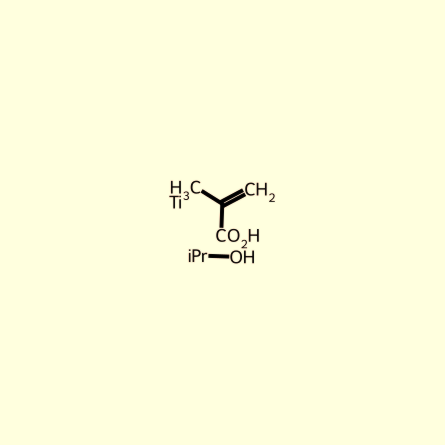 C=C(C)C(=O)O.CC(C)O.[Ti]